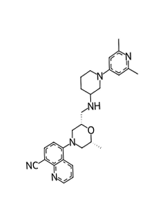 Cc1cc(N2CCCC(NC[C@H]3CN(c4ccc(C#N)c5ncccc45)C[C@@H](C)O3)C2)cc(C)n1